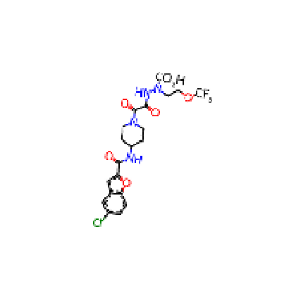 O=C(NN(CCOC(F)(F)F)C(=O)O)C(=O)N1CCC(NC(=O)c2cc3cc(Cl)ccc3o2)CC1